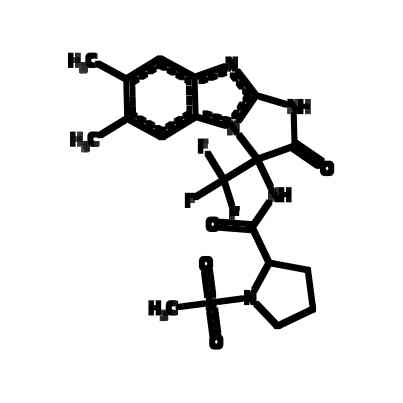 Cc1cc2nc3n(c2cc1C)C(NC(=O)C1CCCN1S(C)(=O)=O)(C(F)(F)F)C(=O)N3